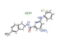 Cc1ccc2c(c1)CC(NC(=O)c1cc(N)cc(Nc3ccccc3F)n1)C2.Cl